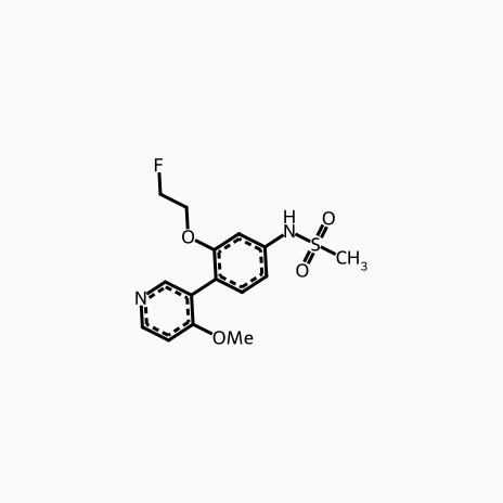 COc1ccncc1-c1ccc(NS(C)(=O)=O)cc1OCCF